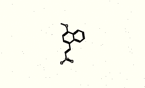 COc1ccc(C=C[N+](=O)[O-])c2ccccc12